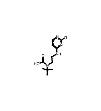 CC(C)(C)N(CCNc1ccnc(Cl)n1)C(=O)O